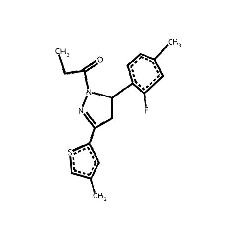 CCC(=O)N1N=C(c2cc(C)cs2)CC1c1ccc(C)cc1F